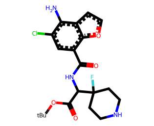 CC(C)(C)OC(=O)C(NC(=O)c1cc(Cl)c(N)c2ccoc12)C1(F)CCNCC1